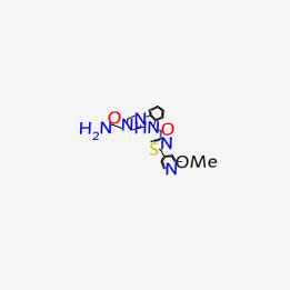 COc1cc(-c2nc(C(=O)Nc3ccccc3N3CCN(CC(N)=O)CC3)cs2)ccn1